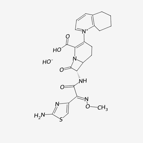 CON=C(C(=O)N[C@@H]1C(=O)N2C(C(=O)O)=C([n+]3cccc4c3CCCC4)CCC12)c1csc(N)n1.[OH-]